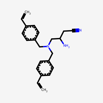 C=Cc1ccc(CN(Cc2ccc(C=C)cc2)CC(N)CC#N)cc1